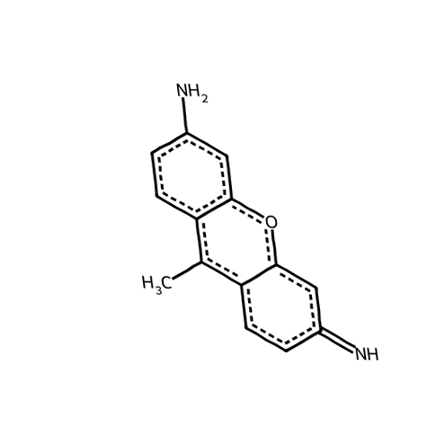 Cc1c2ccc(=N)cc-2oc2cc(N)ccc12